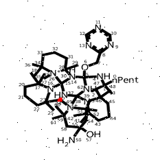 CCCCCC(C)(C)NC1(OCc2ncncn2)NC(N2C(C)(C)CCCC2(C)C)([N+]2(C)C(C)(C)CCCC2(C)C)NC(N2C(C)(C)CCCC2(C)C)([N+]2(C)C(C)(C)CC(N)(O)CC2(C)C)N1